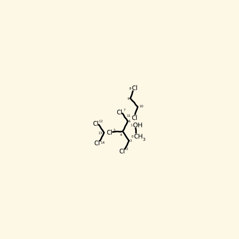 CO.ClCC(Cl)CCl.ClCCCl.ClCCl